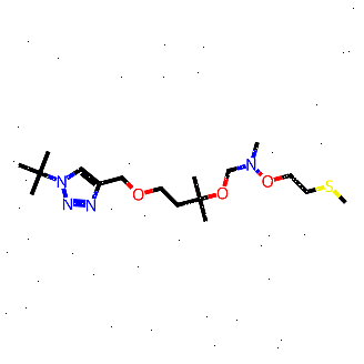 CSCCON(C)COC(C)(C)CCOCc1cn(C(C)(C)C)nn1